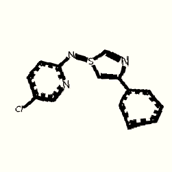 Clc1ccc(N=S2C=NC(c3ccccc3)=C2)nc1